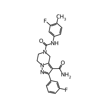 Cc1ccc(NC(=O)N2CCn3nc(-c4cccc(F)c4)c(C(N)=O)c3C2)cc1F